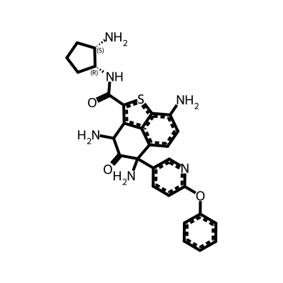 Nc1ccc2c3c(c(C(=O)N[C@@H]4CCC[C@@H]4N)sc13)C(N)C(=O)C2(N)c1ccc(Oc2ccccc2)nc1